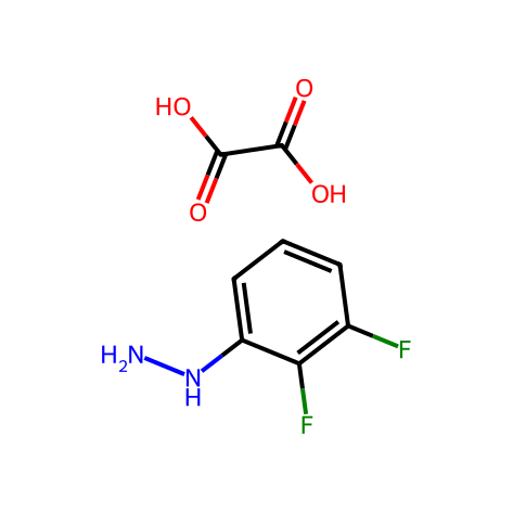 NNc1cccc(F)c1F.O=C(O)C(=O)O